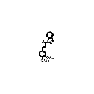 COc1ccc(/C=C/C(=O)n2nnc3ccccc32)cc1OC(C)=O